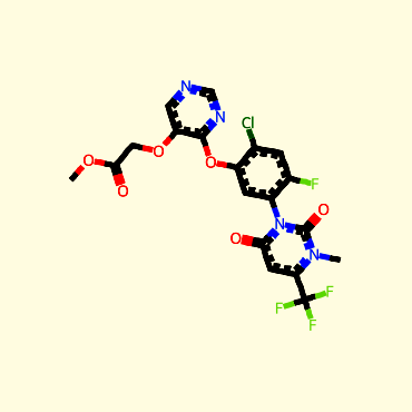 COC(=O)COc1cncnc1Oc1cc(-n2c(=O)cc(C(F)(F)F)n(C)c2=O)c(F)cc1Cl